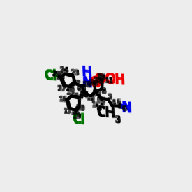 CC[C@@H](CCC#N)[C@]1(CC(=O)O)C[C@H](c2cccc(Cl)c2)[C@@H](c2ccc(Cl)cc2)NC1=O